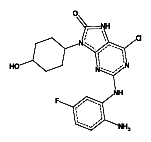 Nc1ccc(F)cc1Nc1nc(Cl)c2[nH]c(=O)n(C3CCC(O)CC3)c2n1